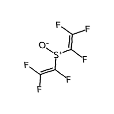 [O-][S+](C(F)=C(F)F)C(F)=C(F)F